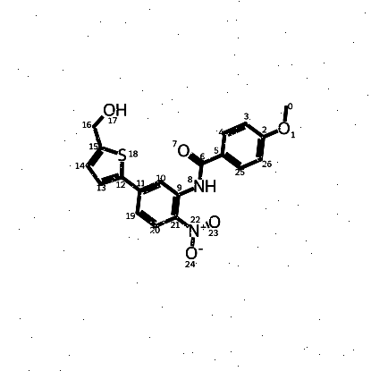 COc1ccc(C(=O)Nc2cc(-c3ccc(CO)s3)ccc2[N+](=O)[O-])cc1